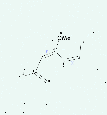 C=C(C)/C=C(\C=C/C)OC